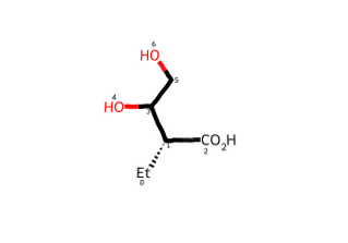 CC[C@@H](C(=O)O)C(O)CO